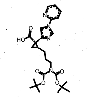 CC(C)(C)OC(=O)N(CCCC1CC1(C(=O)O)c1cn(-c2ccccn2)cn1)C(=O)OC(C)(C)C